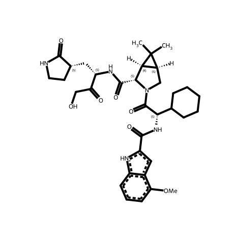 COc1cccc2[nH]c(C(=O)N[C@H](C(=O)N3C[C@H]4[C@@H]([C@H]3C(=O)N[C@@H](C[C@@H]3CCNC3=O)C(=O)CO)C4(C)C)C3CCCCC3)cc12